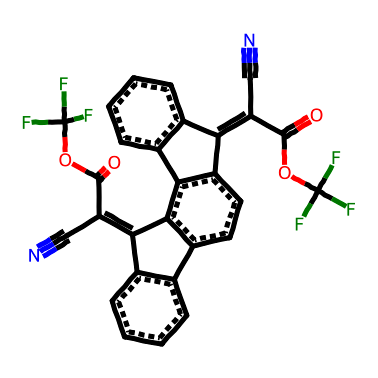 N#C/C(C(=O)OC(F)(F)F)=C1\c2ccccc2-c2c1ccc1c2/C(=C(/C#N)C(=O)OC(F)(F)F)c2ccccc2-1